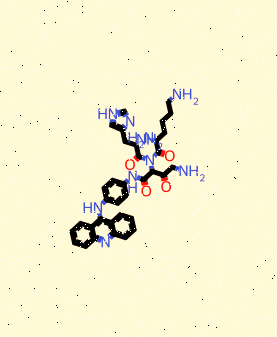 NCCCCC(N)C(=O)N(C(=O)C(N)Cc1c[nH]cn1)C(C(=O)CN)C(=O)Nc1ccc(Nc2c3ccccc3nc3ccccc23)cc1